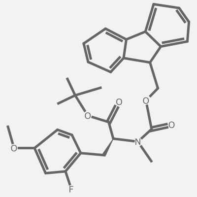 COc1ccc(C[C@@H](C(=O)OC(C)(C)C)N(C)C(=O)OCC2c3ccccc3-c3ccccc32)c(F)c1